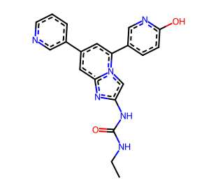 CCNC(=O)Nc1cn2c(-c3ccc(O)nc3)cc(-c3cccnc3)cc2n1